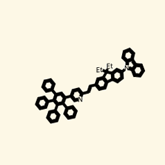 CCC1(CC)c2cc(/C=C/c3ccc(-c4cc(-c5ccccc5)c(-c5ccccc5)c(-c5ccccc5)c4-c4ccccc4)cn3)ccc2-c2ccc(-n3c4ccccc4c4ccccc43)cc21